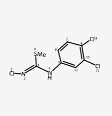 CS/C(=N\Cl)Nc1ccc(Cl)c(Cl)c1